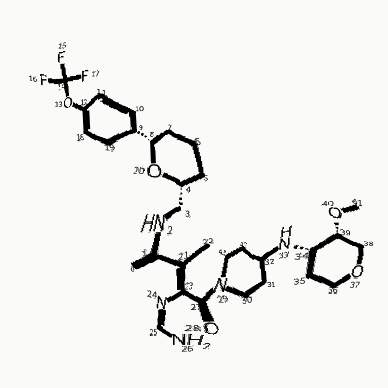 C=C(NC[C@H]1CCC[C@@H](C2C=CC(OC(F)(F)F)=CC2)O1)/C(C)=C(\N=C/N)C(=O)N1CCC(N[C@H]2CCOC[C@H]2OC)CC1